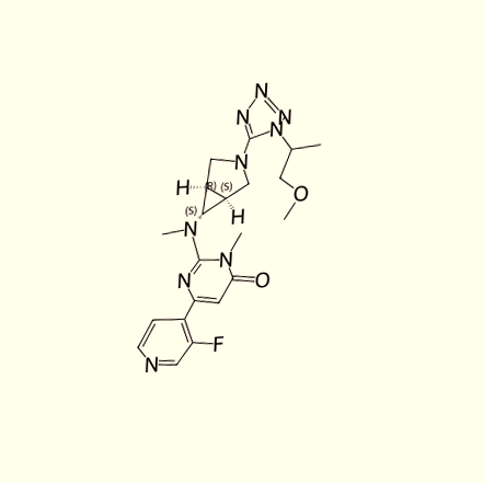 COCC(C)n1nnnc1N1C[C@@H]2[C@H](C1)[C@H]2N(C)c1nc(-c2ccncc2F)cc(=O)n1C